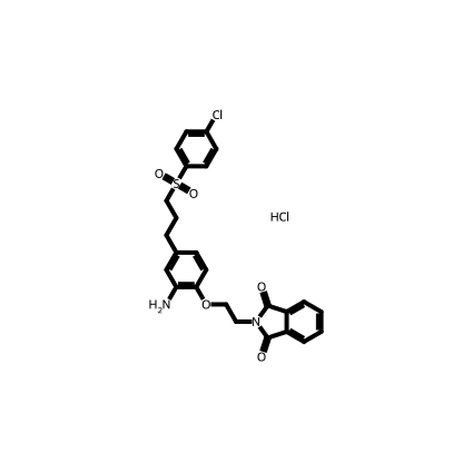 Cl.Nc1cc(CCCS(=O)(=O)c2ccc(Cl)cc2)ccc1OCCN1C(=O)c2ccccc2C1=O